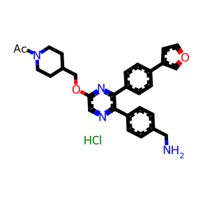 CC(=O)N1CCC(COc2cnc(-c3ccc(CN)cc3)c(-c3ccc(-c4ccoc4)cc3)n2)CC1.Cl